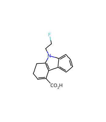 O=C(O)C1=CCCc2c1c1ccccc1n2CCF